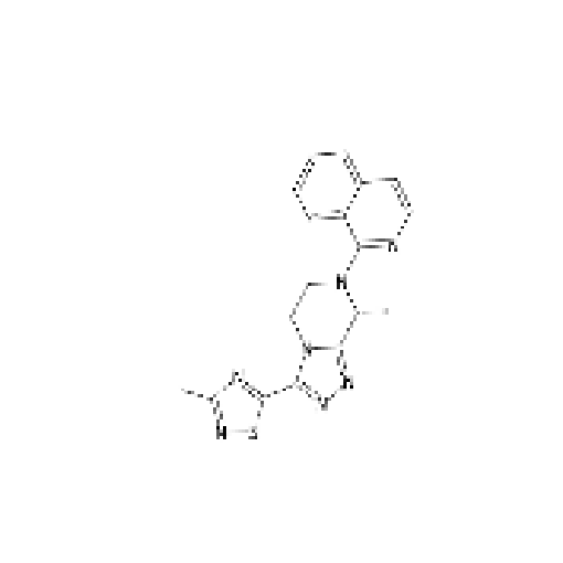 Cc1nsc(-c2nnc3n2CCN(c2nccc4ccccc24)[C@@H]3C)n1